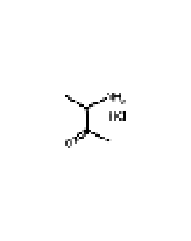 CC(=O)C(C)N.Cl